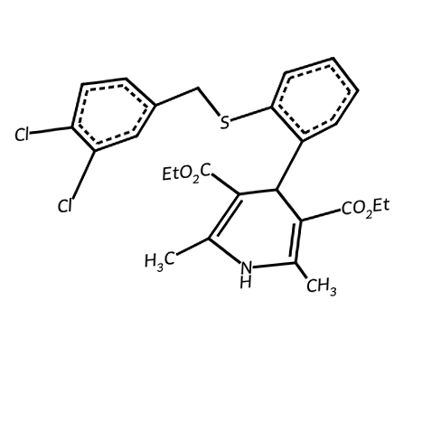 CCOC(=O)C1=C(C)NC(C)=C(C(=O)OCC)C1c1ccccc1SCc1ccc(Cl)c(Cl)c1